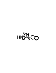 c1ccc2c(c1)CCC(Sc1ncnc3[nH]ccc13)C2